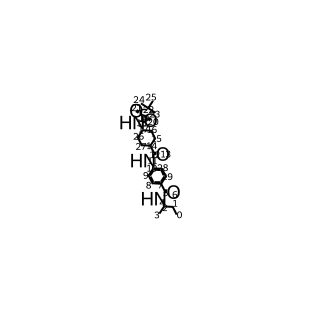 CCC(C)NC(=O)c1ccc(NC(=O)C2CCC(NS(=O)(=O)C(C)(C)C)CC2)cc1